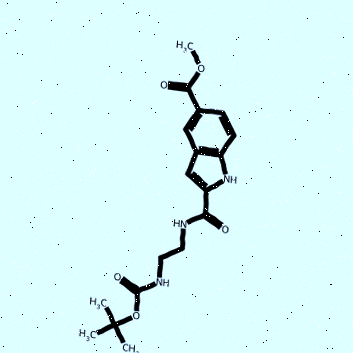 COC(=O)c1ccc2[nH]c(C(=O)NCCNC(=O)OC(C)(C)C)cc2c1